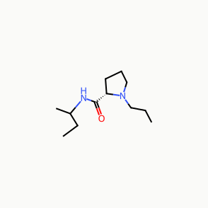 CCCN1CCC[C@H]1C(=O)NC(C)CC